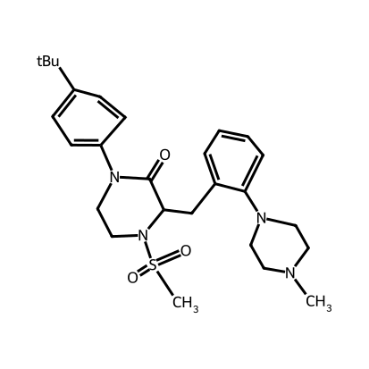 CN1CCN(c2ccccc2CC2C(=O)N(c3ccc(C(C)(C)C)cc3)CCN2S(C)(=O)=O)CC1